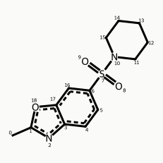 Cc1nc2ccc(S(=O)(=O)N3CCCCC3)cc2o1